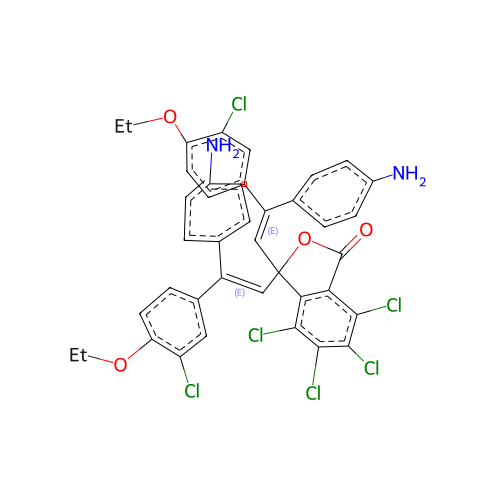 CCOc1ccc(/C(=C/C2(/C=C(\c3ccc(N)cc3)c3ccc(OCC)c(Cl)c3)OC(=O)c3c(Cl)c(Cl)c(Cl)c(Cl)c32)c2ccc(N)cc2)cc1Cl